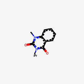 CC(C)n1c(=O)c2ccccc2n(C)c1=O